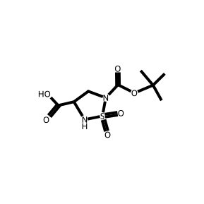 CC(C)(C)OC(=O)N1CC(C(=O)O)NS1(=O)=O